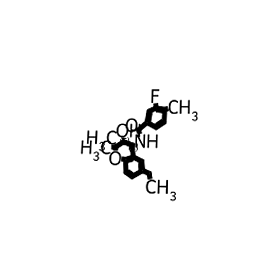 CCc1ccc2c(c1)[C@@H](NC(=O)c1ccc(C)c(F)c1)[C@H](O)C(C)(C)O2